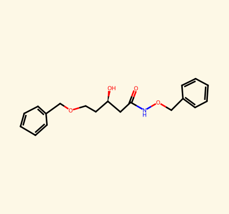 O=C(C[C@H](O)CCOCc1ccccc1)NOCc1ccccc1